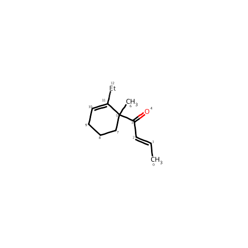 C/C=C/C(=O)C1(C)CCCC=C1CC